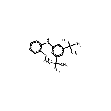 CSc1ccccc1Nc1cc(C(C)(C)C)cc(C(C)(C)C)c1